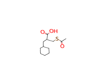 CC(=O)SCC(CC1CCCCC1)C(=O)O